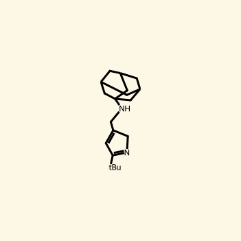 CC(C)(C)C1=NCC(CNC23CC4CC(CC(C4)C2)C3)=C1